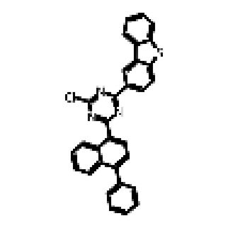 Clc1nc(-c2ccc3sc4ccccc4c3c2)nc(-c2ccc(-c3ccccc3)c3ccccc23)n1